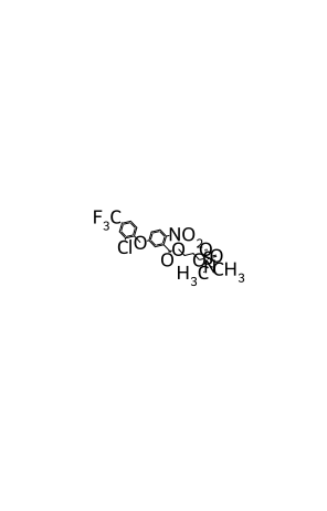 CN(C)S(=O)(=O)OCCOC(=O)c1cc(Oc2ccc(C(F)(F)F)cc2Cl)ccc1[N+](=O)[O-]